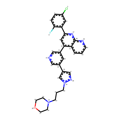 Fc1ccc(Cl)cc1-c1cc(-c2cncc(-c3cnn(CCCN4CCOCC4)c3)c2)c2cccnc2n1